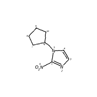 O=[N+]([O-])c1nccn1C1CCCC1